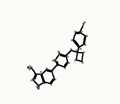 Nc1n[nH]c2ccc(-c3ccc([CH]C4(c5ccc(F)cc5)CCC4)nn3)cc12